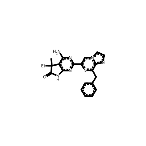 CCC1(C)C(=O)Nc2nc(-c3cn4ccnc4c(Cc4ccccc4)n3)nc(N)c21